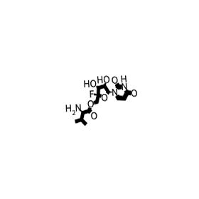 CC(C)[C@H](N)C(=O)OC[C@@]1(F)O[C@@H](n2ccc(=O)[nH]c2=O)[C@H](O)[C@@H]1O